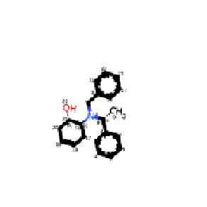 C[C@H](c1ccccc1)N(Cc1ccccc1)[C@H]1CC=CC[C@@H]1O